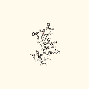 CC(C)CC(NC(=O)OC(c1ccc(Cl)cc1)C1(c2cccc(Cl)c2)CCC1)C(=O)NC(CC1CCNC1=O)C(=O)C(=O)NC1CC1